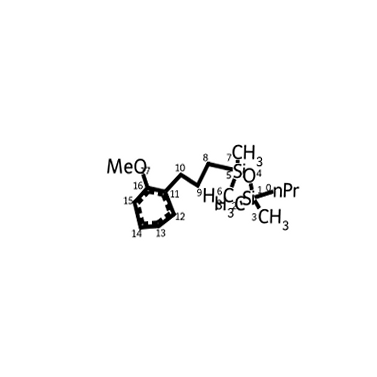 CCC[Si](C)(C)O[Si](C)(C)CCCc1ccccc1OC